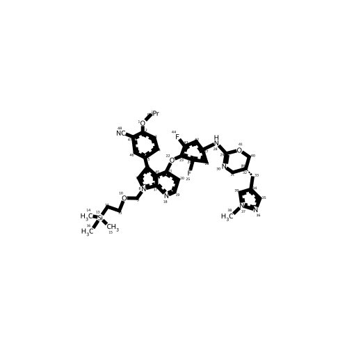 CC(C)Oc1ccc(-c2cn(COCC[Si](C)(C)C)c3nccc(Oc4c(F)cc(NC5=NC[C@@H](Cc6cnn(C)c6)CO5)cc4F)c23)cc1C#N